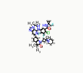 CC(C)n1cnc2cc(-c3ccc4c(c3)N([C@H]3C[C@@](C)(N5CCCCC5)C3)C(=O)C4(C)C)nc(Nc3cc(C(=O)NC4(CF)CC4)c(Cl)c(F)c3F)c21